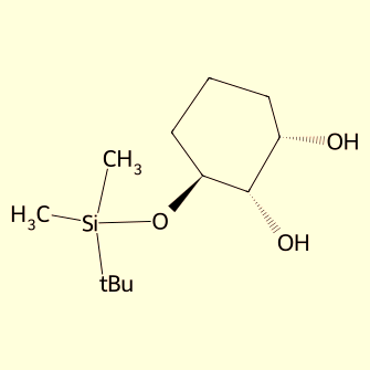 CC(C)(C)[Si](C)(C)O[C@H]1CCC[C@H](O)[C@@H]1O